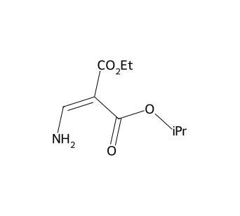 CCOC(=O)C(=CN)C(=O)OC(C)C